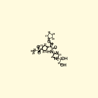 O=C(Nc1cnc(C(O)CO)cn1)/C(=N/OC1CCCC1)c1ccc(S(=O)(=O)C2CC2)cc1